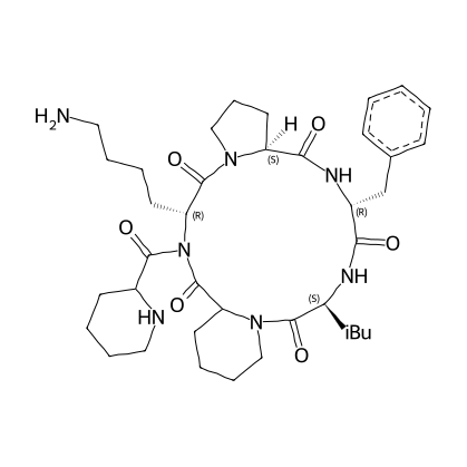 CCC(C)[C@@H]1NC(=O)[C@@H](Cc2ccccc2)NC(=O)[C@@H]2CCCN2C(=O)[C@@H](CCCCN)N(C(=O)C2CCCCN2)C(=O)C2CCCCN2C1=O